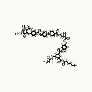 CCCN(CCC)C(=O)C1=Cc2ccc(C(=O)Nc3ccc(N4CCC(C(=O)NCCNC(=O)OCc5ccc(NC(=O)C(CCCNC(N)=O)NC(=O)C(NC(=O)CCCCI)C(C)C)cc5)CC4)nc3)cc2N=C(N)C1